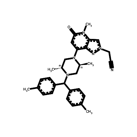 Cc1ccc(C(c2ccc(C)cc2)N2C[C@H](C)N(c3cc(=O)n(C)c4cn(CC#N)nc34)C[C@H]2C)cc1